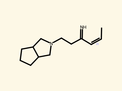 C/C=C\C(=N)CCN1CC2CCCC2C1